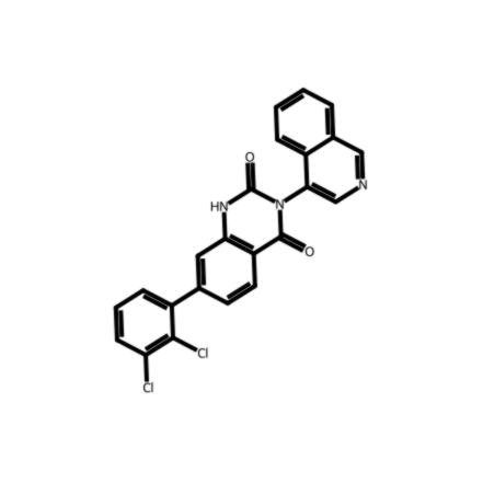 O=c1[nH]c2cc(-c3cccc(Cl)c3Cl)ccc2c(=O)n1-c1cncc2ccccc12